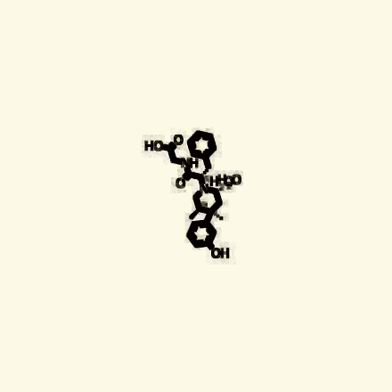 C[C@H]1CN([C@@H](Cc2ccccc2)C(=O)NCC(=O)O)CC[C@@]1(C)c1cccc(O)c1.O.O